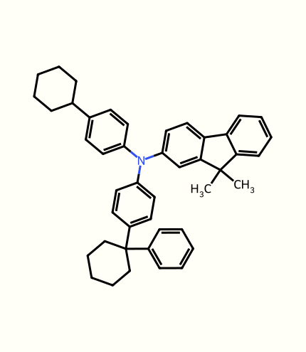 CC1(C)c2ccccc2-c2ccc(N(c3ccc(C4CCCCC4)cc3)c3ccc(C4(c5ccccc5)CCCCC4)cc3)cc21